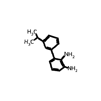 CC(C)c1cccc(-c2cccc(N)c2N)c1